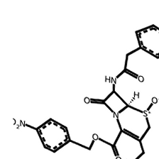 O=C(Cc1ccccc1)NC1C(=O)N2C(C(=O)OCc3ccc([N+](=O)[O-])cc3)=C(CBr)C[S+]([O-])[C@H]12